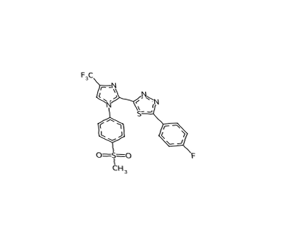 CS(=O)(=O)c1ccc(-n2cc(C(F)(F)F)nc2-c2nnc(-c3ccc(F)cc3)s2)cc1